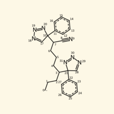 [CH2]CCC(CCCC(C#N)C1(c2ccccc2)C=NN=N1)C1(c2ccccc2)C=NN=N1